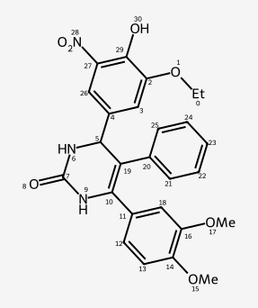 CCOc1cc(C2NC(=O)NC(c3ccc(OC)c(OC)c3)=C2c2ccccc2)cc([N+](=O)[O-])c1O